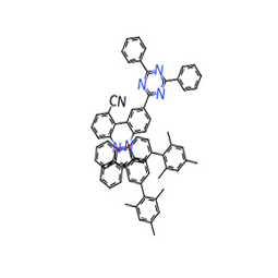 Cc1cc(C)c(-c2ccc3c(c2)c2ccccc2n3-c2ccc(-c3nc(-c4ccccc4)nc(-c4ccccc4)n3)cc2-c2c(C#N)cccc2-n2c3ccccc3c3cc(-c4c(C)cc(C)cc4C)ccc32)c(C)c1